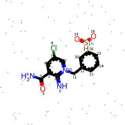 N=c1c(C(N)=O)cc(Cl)cn1Cc1cccc([SH](=O)=O)c1